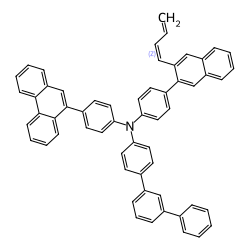 C=C/C=C\c1cc2ccccc2cc1-c1ccc(N(c2ccc(-c3cccc(-c4ccccc4)c3)cc2)c2ccc(-c3cc4ccccc4c4ccccc34)cc2)cc1